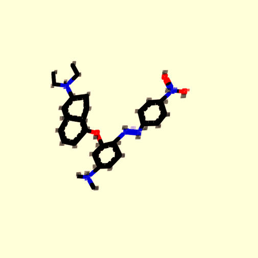 CCN(CC)c1ccc2c(Oc3cc(N(C)C)ccc3/N=N/c3ccc([N+](=O)[O-])cc3)cccc2c1